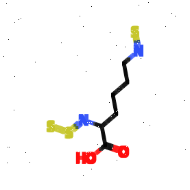 O=C(O)C(CCCCN=S)N=S=S